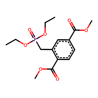 CCOP(=O)(Cc1cc(C(=O)OC)ccc1C(=O)OC)OCC